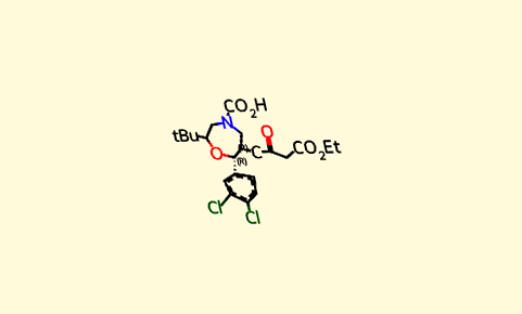 CCOC(=O)CC(=O)C[C@@H]1CN(C(=O)O)CC(C(C)(C)C)O[C@H]1c1ccc(Cl)c(Cl)c1